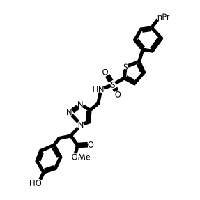 CCCc1ccc(-c2ccc(S(=O)(=O)NCc3cn(C(Cc4ccc(O)cc4)C(=O)OC)nn3)s2)cc1